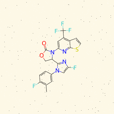 Cc1cc(-n2cc(F)nc2C2COC(=O)N2c2cc(C(F)(F)F)c3ccsc3n2)ccc1F